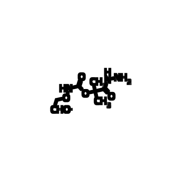 CC(C)(OC(=O)NOC[C]=O)C(=O)NN